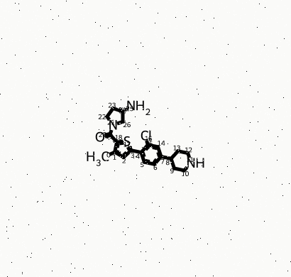 Cc1cc(-c2ccc(C3CCNCC3)cc2Cl)sc1C(=O)N1CC[C@H](N)C1